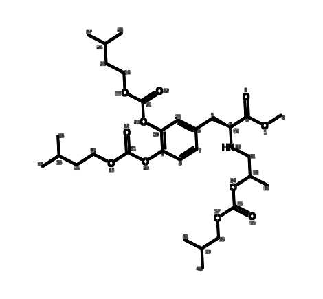 COC(=O)[C@H](Cc1ccc(OC(=O)OCCC(C)C)c(OC(=O)OCCC(C)C)c1)NCC(C)OC(=O)OCC(C)C